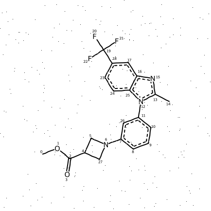 COC(=O)C1CN(c2cccc(-n3c(C)nc4cc(C(F)(F)F)ccc43)c2)C1